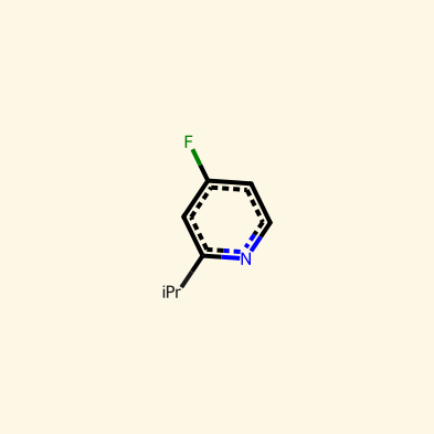 CC(C)c1cc(F)ccn1